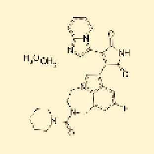 O.O.O=C1NC(=O)C(c2cnc3ccccn23)=C1c1cn2c3c(cc(F)cc13)CN(C(=O)N1CCCCC1)CC2